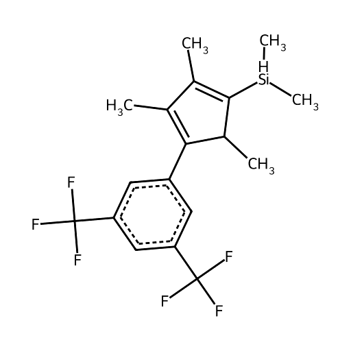 CC1=C(c2cc(C(F)(F)F)cc(C(F)(F)F)c2)C(C)C([SiH](C)C)=C1C